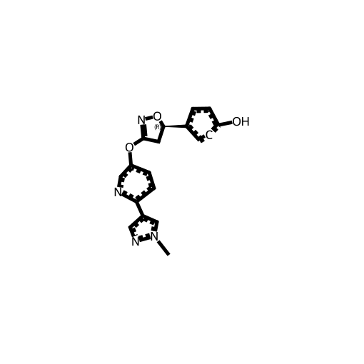 Cn1cc(-c2ccc(OC3=NO[C@@H](c4ccc(O)cc4)C3)cn2)cn1